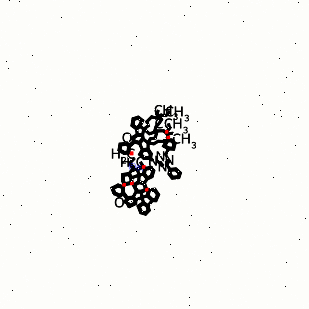 C=C/C=C1\C(=C/C)C2(c3ccccc31)c1cc(N(c3ccc4c(c3)C(CCCCCCC)(CCCCCCC)c3c5c(c6oc7ccccc7c6c3-4)-c3ccccc3C5(CCCCCCC)CCCCCCC)c3nc(-c4ccccc4)nc(-c4ccccc4)n3)ccc1-c1cc3c(cc12)-c1c(ccc2oc4ccccc4c12)C31c2ccccc2-c2ccccc21